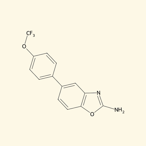 Nc1nc2cc(-c3ccc(OC(F)(F)F)cc3)ccc2o1